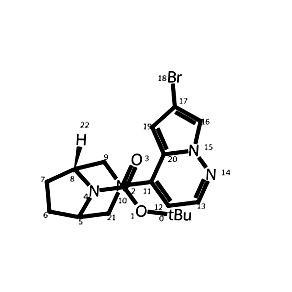 CC(C)(C)OC(=O)N1C2CC[C@@H]1CN(c1ccnn3cc(Br)cc13)C2